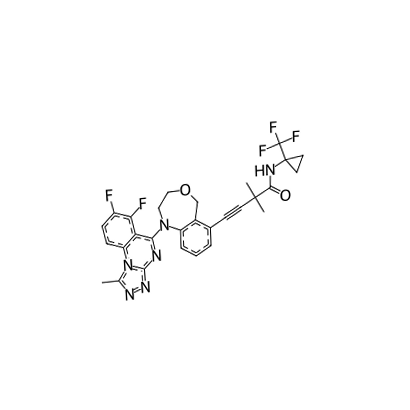 Cc1nnc2nc(N3CCOCc4c(C#CC(C)(C)C(=O)NC5(C(F)(F)F)CC5)cccc43)c3c(F)c(F)ccc3n12